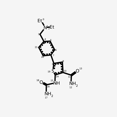 CCN(CC)Cc1ccc(-c2cc(C(N)=O)c(NC(N)=O)s2)cc1